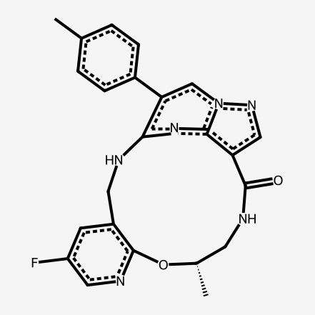 Cc1ccc(-c2cn3ncc4c3nc2NCc2cc(F)cnc2O[C@@H](C)CNC4=O)cc1